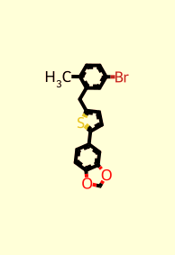 Cc1ccc(Br)cc1Cc1ccc(-c2ccc3c(c2)OCO3)s1